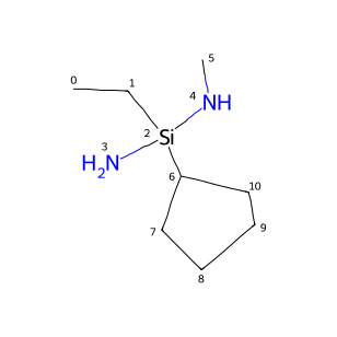 CC[Si](N)(NC)C1CCCC1